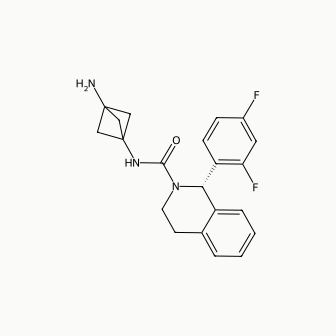 NC12CC(NC(=O)N3CCc4ccccc4[C@H]3c3ccc(F)cc3F)(C1)C2